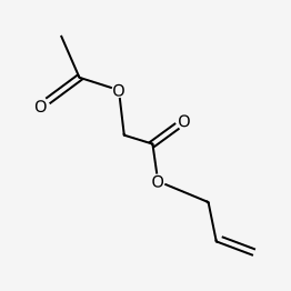 C=CCOC(=O)COC(C)=O